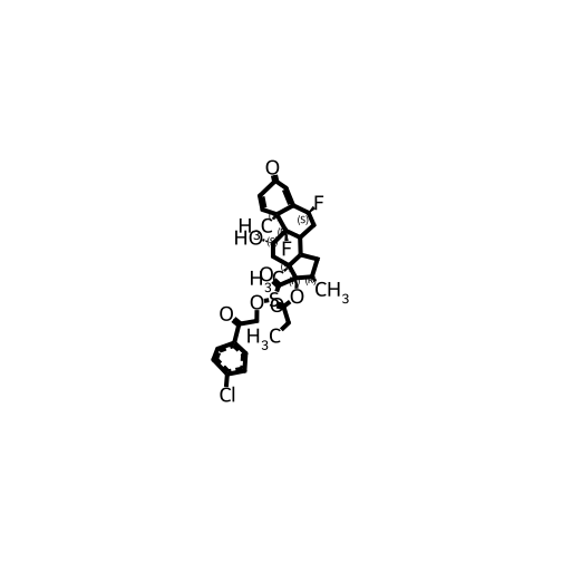 CCC(=O)O[C@]1(C(=O)SOCC(=O)c2ccc(Cl)cc2)[C@H](C)CC2C3C[C@H](F)C4=CC(=O)C=C[C@]4(C)[C@@]3(F)[C@@H](O)C[C@@]21C